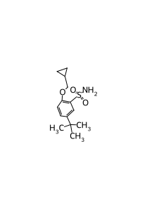 CC(C)(C)c1ccc(OCC2CC2)c(S(N)(=O)=O)c1